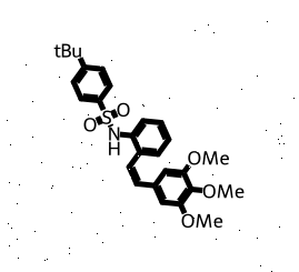 COc1cc(/C=C\c2ccccc2NS(=O)(=O)c2ccc(C(C)(C)C)cc2)cc(OC)c1OC